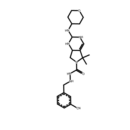 CC1(C)C2=CNC(NC3CCOCC3)NC2CN1C(=O)NNCc1cccc(C#N)c1